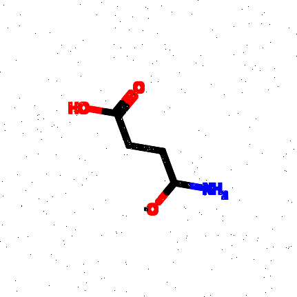 NC([O])CCC(=O)O